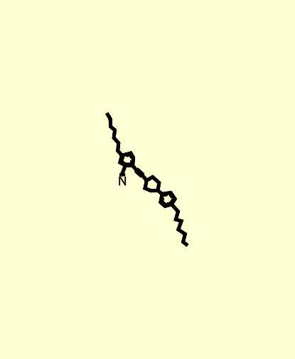 CCCCCCCc1ccc(C2CCC(C#Cc3ccc(CCCCCCC)cc3C#N)CC2)cc1